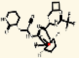 N#C[C@H](C[C@H]1CCCNC1=O)NC(=O)[C@@H]1[C@@H]2CC[C@@H](CC2(F)F)N1C(=O)[C@H](CC1CCC1)NC(=O)C(F)(F)F